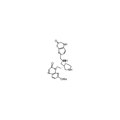 COc1ccc2ncc(=O)n(CC[C@@]3(CNCc4ccc5c(n4)SC(=O)CN5)CNCC[C@H]3O)c2n1